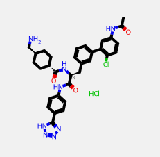 CC(=O)Nc1ccc(Cl)c(-c2cccc(C[C@H](NC(=O)[C@H]3CC[C@H](CN)CC3)C(=O)Nc3ccc(-c4nnn[nH]4)cc3)c2)c1.Cl